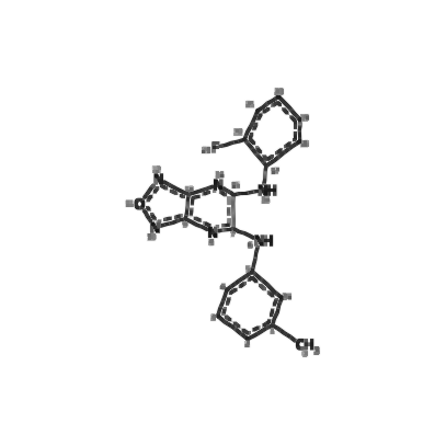 Cc1cccc(Nc2nc3nonc3nc2Nc2ccccc2F)c1